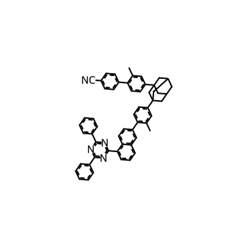 Cc1cc(C23CC4CC(C2)CC(c2ccc(-c5ccc6c(-c7nc(-c8ccccc8)nc(-c8ccccc8)n7)cccc6c5)c(C)c2)(C4)C3)ccc1-c1ccc(C#N)cc1